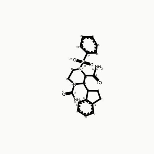 NC(=O)C1C(C2CCc3ccccc32)N(C(N)=O)CCN1S(=O)(=O)c1ccccc1